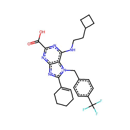 O=C(O)c1nc(NCCC2CCC2)c2c(n1)nc(C1=CCCCC1)n2Cc1ccc(C(F)(F)F)cc1